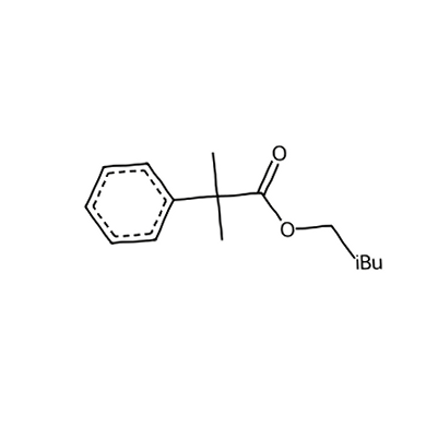 CCC(C)COC(=O)C(C)(C)c1ccccc1